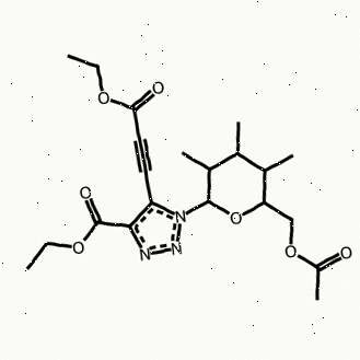 CCOC(=O)C#Cc1c(C(=O)OCC)nnn1C1OC(COC(C)=O)C(C)C(C)C1C